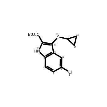 CCOC(=O)c1[nH]c2ccc(Cl)cc2c1SC1CC1